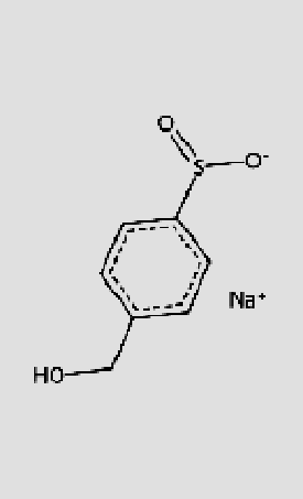 O=S([O-])c1ccc(CO)cc1.[Na+]